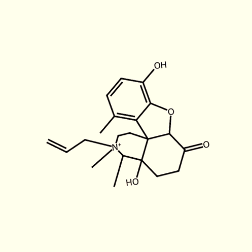 C=CC[N+]1(C)CCC23c4c(C)ccc(O)c4OC2C(=O)CCC3(O)C1C